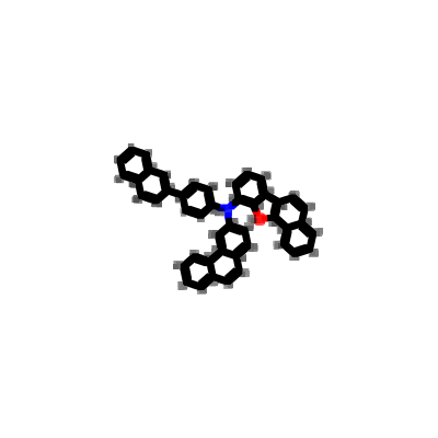 c1ccc2cc(-c3ccc(N(c4ccc5ccc6ccccc6c5c4)c4cccc5c4oc4c6ccccc6ccc54)cc3)ccc2c1